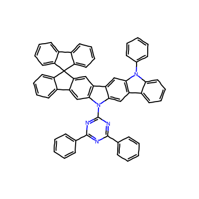 c1ccc(-c2nc(-c3ccccc3)nc(-n3c4cc5c(cc4c4cc6c(cc43)c3ccccc3n6-c3ccccc3)C3(c4ccccc4-c4ccccc43)c3ccccc3-5)n2)cc1